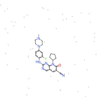 CN1CCN(c2ccc(Nc3ncc4cc(C#N)c(=O)n(C5CCCC5)c4n3)c(F)c2)CC1